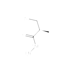 CC(=O)C[C@@H](C)C(=O)NN